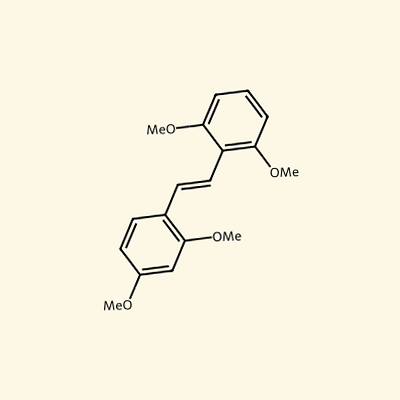 COc1ccc(C=Cc2c(OC)cccc2OC)c(OC)c1